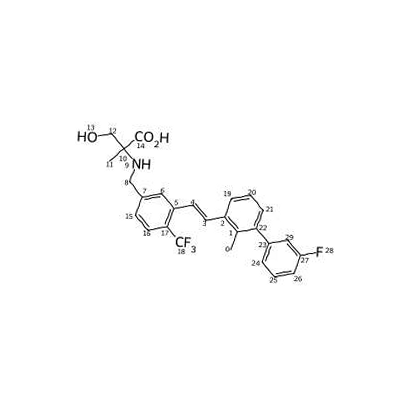 Cc1c(C=Cc2cc(CNC(C)(CO)C(=O)O)ccc2C(F)(F)F)cccc1-c1cccc(F)c1